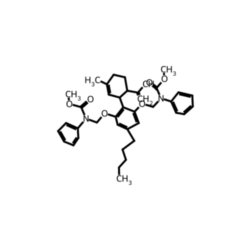 C=C(C)C1CCC(C)=CC1c1c(OCN(C(=O)OC)c2ccccc2)cc(CCCCC)cc1OCN(C(=O)OC)c1ccccc1